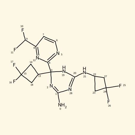 NC1=NC(c2nccc(C(F)F)n2)(C2CC(F)(F)C2)NC(NC2CC(F)(F)C2)=N1